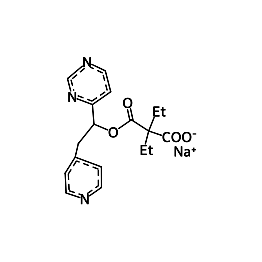 CCC(CC)(C(=O)[O-])C(=O)OC(Cc1ccncc1)c1ccncn1.[Na+]